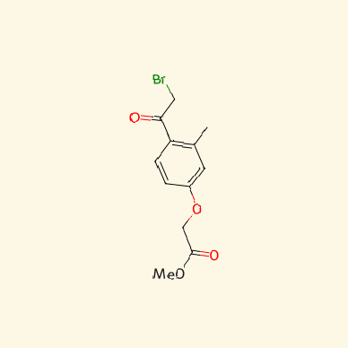 COC(=O)COc1ccc(C(=O)CBr)c(C)c1